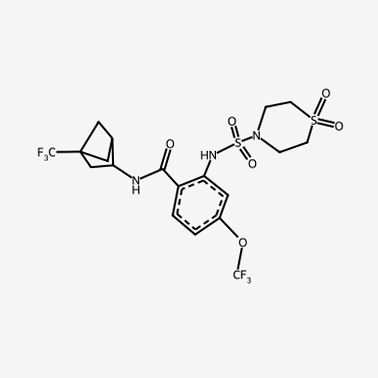 O=C(NC1CC2(C(F)(F)F)CC1C2)c1ccc(OC(F)(F)F)cc1NS(=O)(=O)N1CCS(=O)(=O)CC1